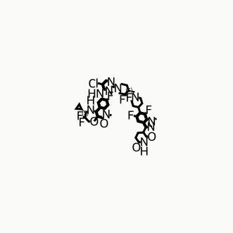 Cn1nc(C2CCC(=O)NC2=O)c2cc(F)c(C3CCN(C[C@@H]4CCN(c5ncc(Cl)c(Nc6cc7c8c(c(=O)n(C)c7cc6F)OCC(F)(F)[C@H](C6CC6)N8)n5)CC4(F)F)CC3)c(F)c21